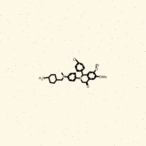 COc1cc2c(cc1OC(C)C)C(c1ccc(Cl)cc1)N(c1ccc(N(C)CC3CCC(N)CC3)cc1)CC2=O